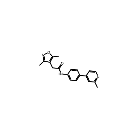 Cc1cc(-c2ccc(NC(=O)Cc3c(C)noc3C)cc2)ccn1